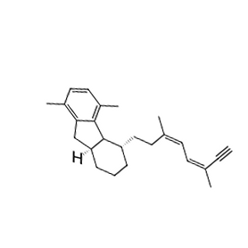 C#C/C(C)=C\C=C(\C)CC[C@@H]1CCC[C@H]2Cc3c(C)ccc(C)c3C12